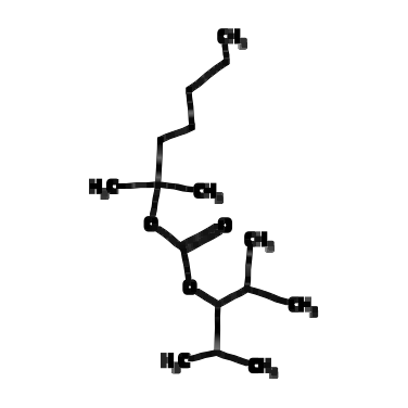 CCCCCC(C)(C)OC(=O)OC(C(C)C)C(C)C